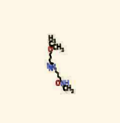 CCNC(=O)CCCCCn1cc(CCCCOC(C)C)nn1